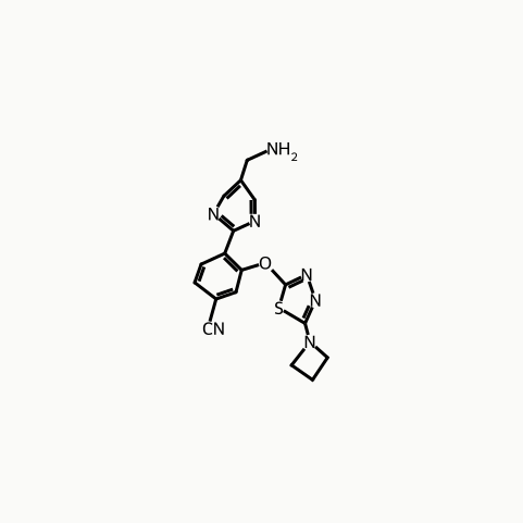 N#Cc1ccc(-c2ncc(CN)cn2)c(Oc2nnc(N3CCC3)s2)c1